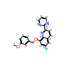 COc1cccc(COc2cc(F)cc3ccc(-c4ncccn4)nc23)c1